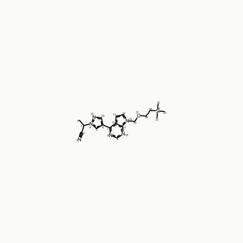 CC(C#N)n1cc(-c2ncnc3c2ccn3COCC[Si](C)(C)C)cn1